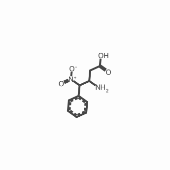 NC(CC(=O)O)C(c1ccccc1)[N+](=O)[O-]